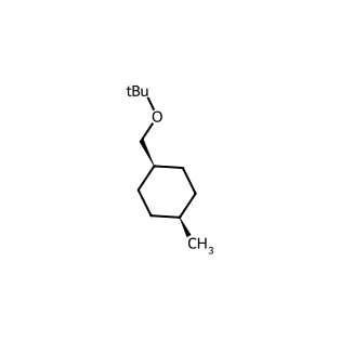 CC(C)(C)OC[C@H]1CC[C@@H](C)CC1